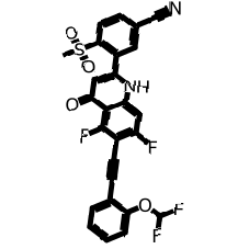 CS(=O)(=O)c1ccc(C#N)cc1-c1cc(=O)c2c(F)c(C#Cc3ccccc3OC(F)F)c(F)cc2[nH]1